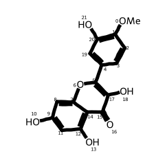 COc1ccc(-c2oc3cc(O)cc(O)c3c(=O)c2O)cc1O